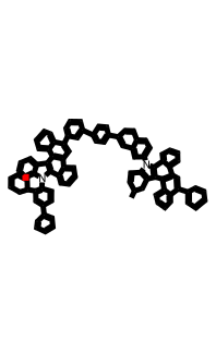 CC1C=Cc2c(c3c4c5ccccc5c(-c5ccccc5)cc4c4ccccc4c3n2-c2ccc3ccc(-c4ccc(-c5cccc(-c6cc7c8ccccc8c8c(c9ccccc9n8-c8ccc(-c9ccccc9)cc8C8C=CC=CC8)c7c7ccccc67)c5)cc4)cc3c2)C1